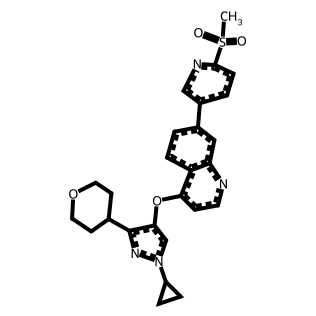 CS(=O)(=O)c1ccc(-c2ccc3c(Oc4cn(C5CC5)nc4C4CCOCC4)ccnc3c2)cn1